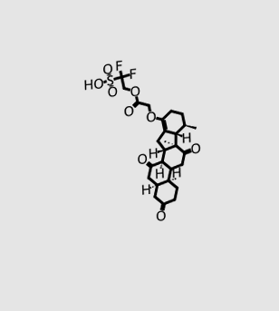 C[C@@H]1CCC(OCC(=O)OCC(F)(F)S(=O)(=O)O)=C2C[C@H]3[C@@H]4C(=O)C[C@@H]5CC(=O)CC[C@]5(C)[C@H]4CC(=O)[C@]3(C)[C@H]21